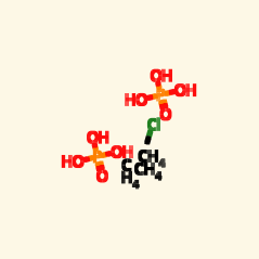 C.C.C.CCl.O=P(O)(O)O.O=P(O)(O)O